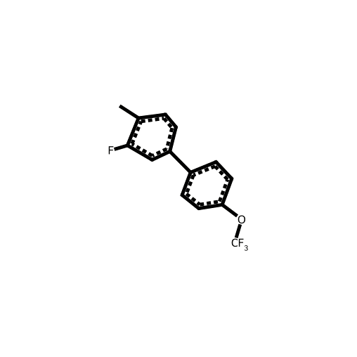 Cc1ccc(-c2ccc(OC(F)(F)F)cc2)cc1F